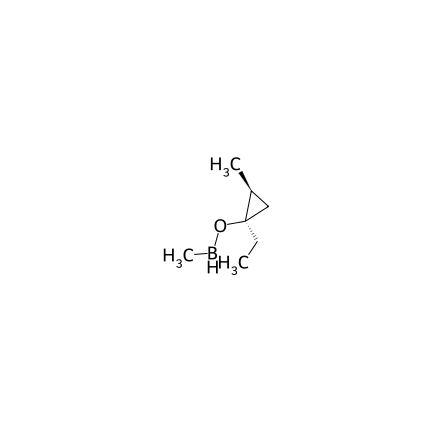 CBO[C@]1(CC)C[C@@H]1C